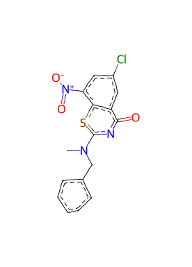 CN(Cc1ccccc1)c1nc(=O)c2cc(Cl)cc([N+](=O)[O-])c2s1